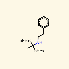 CCCCCCC(C)(CCCCC)NCCc1ccccc1